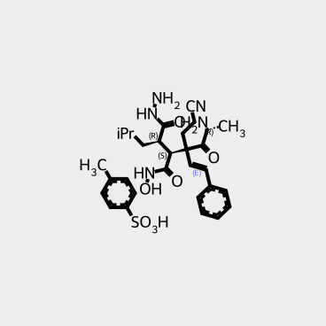 CC(C)C[C@@H](C(=O)NN)[C@H](C(=O)NO)C(/C=C/c1ccccc1)(CCC#N)C(=O)[C@@H](C)N.Cc1ccc(S(=O)(=O)O)cc1